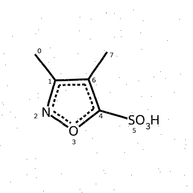 Cc1noc(S(=O)(=O)O)c1C